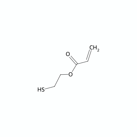 C=CC(=O)OCCS